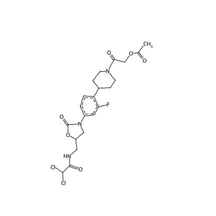 CC(=O)OCC(=O)N1CCC(c2ccc(N3CC(CNC(=O)C(Cl)Cl)OC3=O)cc2F)CC1